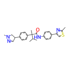 Cc1nc(-c2ccc(NC(=O)C(C)(c3ccc(C4C=NN(C)C4)cc3)C(C)C)cc2)cs1